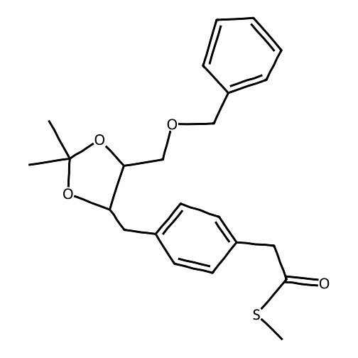 CSC(=O)Cc1ccc(CC2OC(C)(C)OC2COCc2ccccc2)cc1